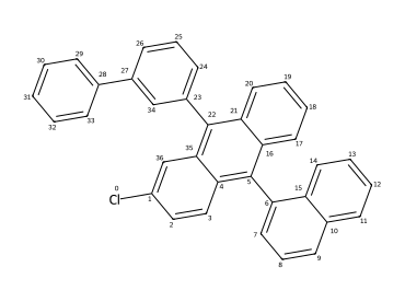 Clc1ccc2c(-c3cccc4ccccc34)c3ccccc3c(-c3cccc(-c4ccccc4)c3)c2c1